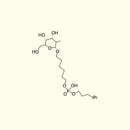 CC(C)CCCOP(=O)(O)OCCCCCCO[C@@H]1OC(CO)[C@H](O)[C@H](O)C1C